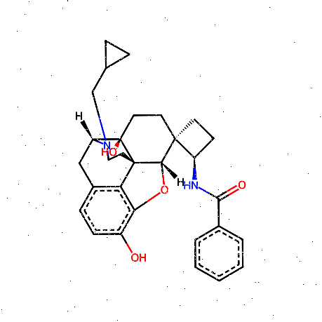 O=C(N[C@@H]1CC[C@]12CC[C@@]1(O)[C@H]3Cc4ccc(O)c5c4[C@@]1(CCN3CC1CC1)[C@H]2O5)c1ccccc1